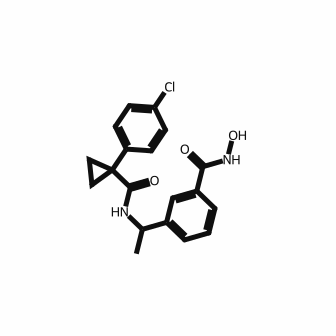 CC(NC(=O)C1(c2ccc(Cl)cc2)CC1)c1cccc(C(=O)NO)c1